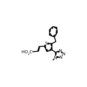 Cn1nnnc1-c1cc(/C=C/C(=O)O)sc1Cc1ccccc1